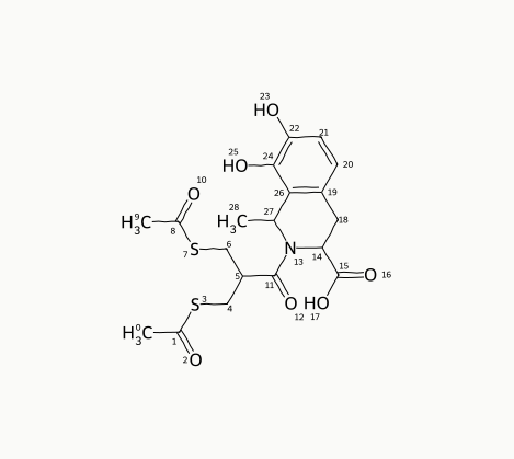 CC(=O)SCC(CSC(C)=O)C(=O)N1C(C(=O)O)Cc2ccc(O)c(O)c2C1C